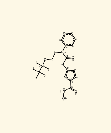 CC(C)(C)[Si](C)(C)OCCN(C(=O)Cc1ccc(C(=O)NO)s1)c1ccccc1